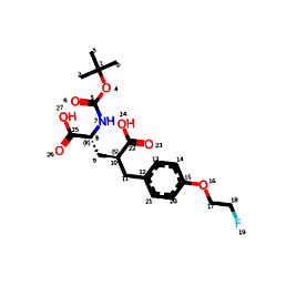 CC(C)(C)OC(=O)N[C@H](C[C@H](Cc1ccc(OCCF)cc1)C(=O)O)C(=O)O